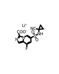 N#CC1(NS(=O)(=O)c2cc(F)c3cnc(C(=O)[O-])n3c2)CC1.[Li+]